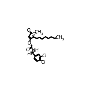 CCCCCCCCC1=S(C)C(=O)C=C1OCC(=O)NNc1ccc(Cl)c(Cl)c1